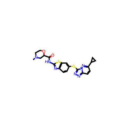 CN1CCOC(C(=O)Nc2nc3ccc(Sc4nnc5ccc(C6CC6)nn45)cc3s2)C1